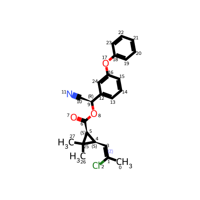 C/C(Cl)=C/[C@@H]1[C@H](C(=O)O[C@@H](C#N)c2cccc(Oc3ccccc3)c2)C1(C)C